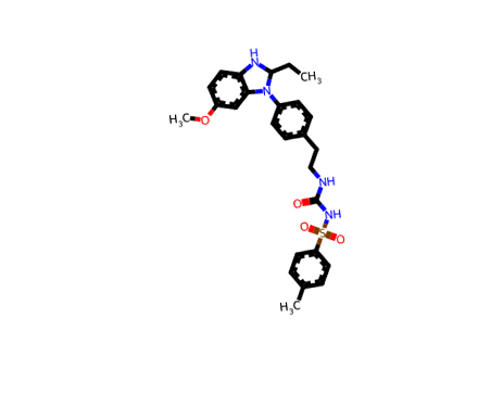 CCC1Nc2ccc(OC)cc2N1c1ccc(CCNC(=O)NS(=O)(=O)c2ccc(C)cc2)cc1